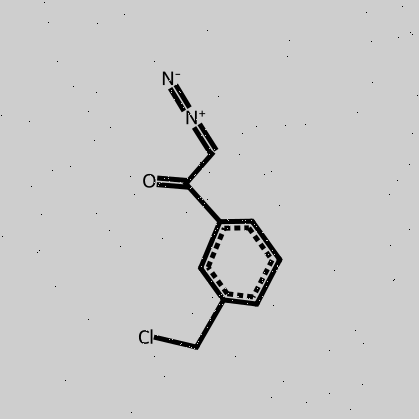 [N-]=[N+]=CC(=O)c1cccc(CCl)c1